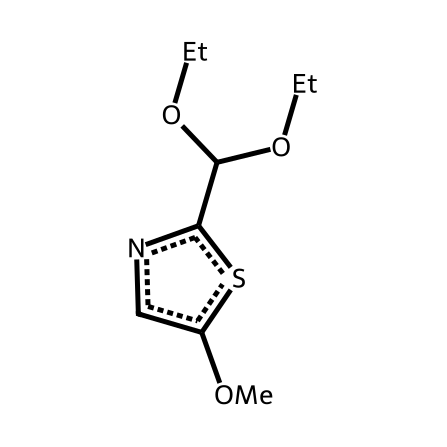 CCOC(OCC)c1ncc(OC)s1